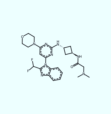 CN(C)CC(=O)N[C@H]1C[C@H](Nc2nc(N3CCOCC3)cc(-n3c(C(F)F)nc4ccccc43)n2)C1